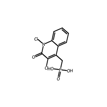 O=c1c(Cl)c(CP(=O)(O)O)c2ccccc2n1Cl